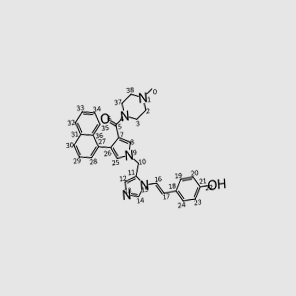 CN1CCN(C(=O)c2cn(Cc3cncn3C=Cc3ccc(O)cc3)cc2-c2cccc3ccccc23)CC1